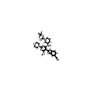 COc1nc(N2CCOCC2)nc(N[C@@H]2CCCN(C(=O)OC(C)(C)C)C2)c1-c1nc2cc(C#N)ccc2s1